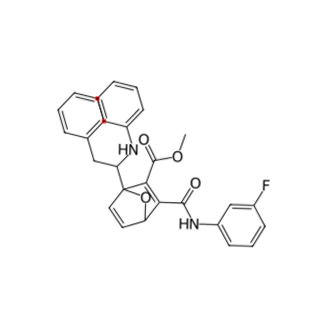 COC(=O)C1=C(C(=O)Nc2cccc(F)c2)C2C=CC1(C(Cc1ccccc1)Nc1ccccc1)O2